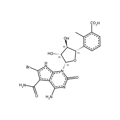 Cc1c(C(=O)O)cccc1[C@@H]1O[C@H](n2c(=O)nc(N)c3c(C(N)=O)c(Br)[nH]c32)[C@H](O)[C@H]1O